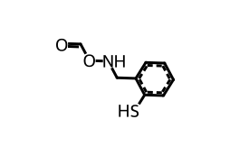 O=CONCc1ccccc1S